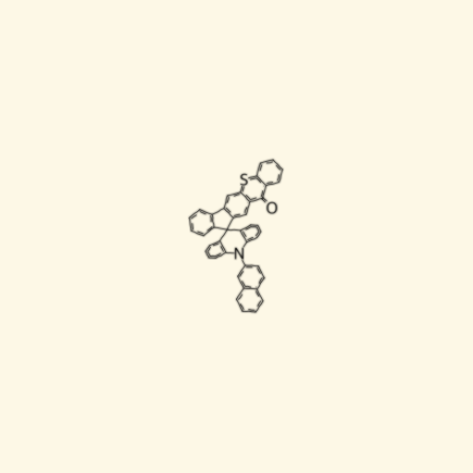 O=c1c2ccccc2sc2cc3c(cc12)C1(c2ccccc2-3)c2ccccc2N(c2ccc3ccccc3c2)c2ccccc21